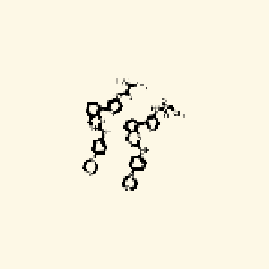 C=C(C)C(=O)Nc1ccnc(-c2cccc3cnc(Nc4ccc(N5CCOCC5)cc4)nc23)c1.C=CS(=O)(=O)Nc1ccnc(-c2cccc3cnc(Nc4ccc(N5CCOCC5)cc4)nc23)c1